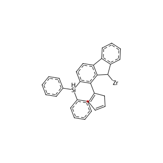 [Zr][CH]1c2ccccc2-c2ccc([SiH](c3ccccc3)c3ccccc3)c(C3=CC=CC3)c21